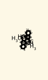 CC(C)C1=CC2=CCCCC2C(O)=C1c1c(C(C)C)cc2c(c1O)CCCC2